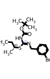 CC[C@@H](C)S/C(=N\Cc1cccc(Br)c1)NC(=O)OC(C)(C)C